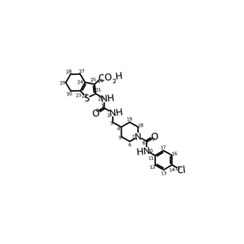 O=C(NCC1CCN(C(=O)Nc2ccc(Cl)cc2)CC1)Nc1sc2c(c1C(=O)O)CCCC2